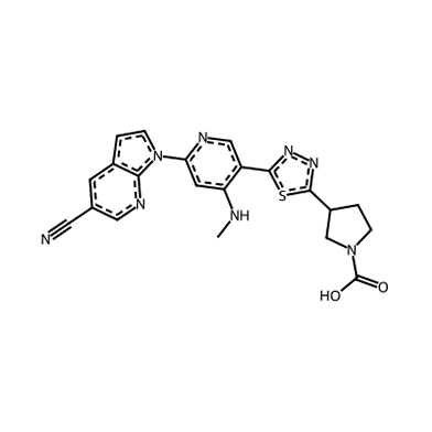 CNc1cc(-n2ccc3cc(C#N)cnc32)ncc1-c1nnc(C2CCN(C(=O)O)C2)s1